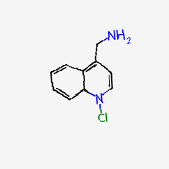 NCC1=C2C=CC=CC2N(Cl)C=C1